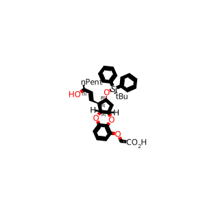 CCCCC[C@H](O)C=C[C@@H]1[C@H]2Oc3cccc(OCC(=O)O)c3O[C@H]2C[C@H]1O[Si](c1ccccc1)(c1ccccc1)C(C)(C)C